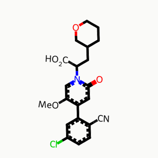 COc1cn(C(CC2CCCOC2)C(=O)O)c(=O)cc1-c1cc(Cl)ccc1C#N